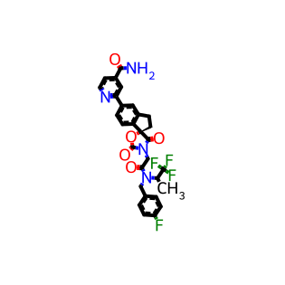 CC(N(Cc1ccc(F)cc1)C(=O)CN1C(=O)O[C@@]2(CCc3cc(-c4cc(C(N)=O)ccn4)ccc32)C1=O)C(F)(F)F